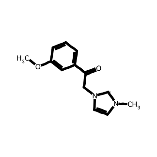 COc1cccc(C(=O)CN2[CH]N(C)C=C2)c1